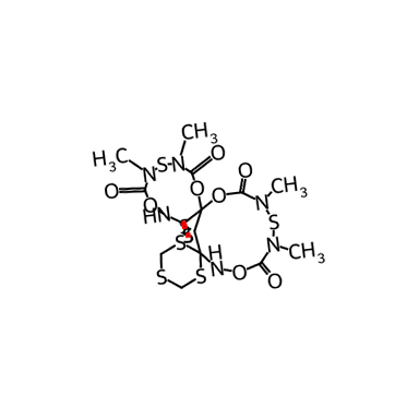 CN1SN(C)C(=O)OC2(CC3(NOC1=O)SCSCS3)OC(=O)N(C)SN(C)C(=O)ONC21SCSCS1